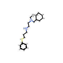 CCN(CCNCCCSc1ccccc1)CC1CCCCC1